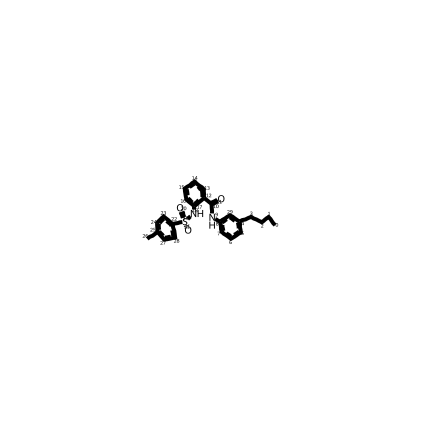 CCCCc1cccc(NC(=O)c2ccccc2NS(=O)(=O)c2ccc(C)cc2)c1